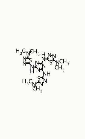 CN(C)c1nnc(Nc2nc(Nc3nnc(N(C)C)s3)nc(Nc3nnc(N(C)C)s3)n2)s1